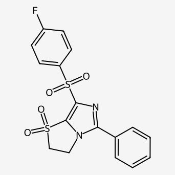 O=S1(=O)CCn2c(-c3ccccc3)nc(S(=O)(=O)c3ccc(F)cc3)c21